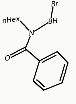 CCCCCCN(BBr)C(=O)c1ccccc1